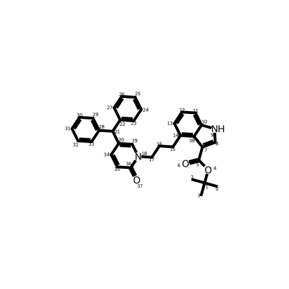 CC(C)(C)OC(=O)c1c[nH]c2cccc(CCCn3cc(C(c4ccccc4)c4ccccc4)ccc3=O)c12